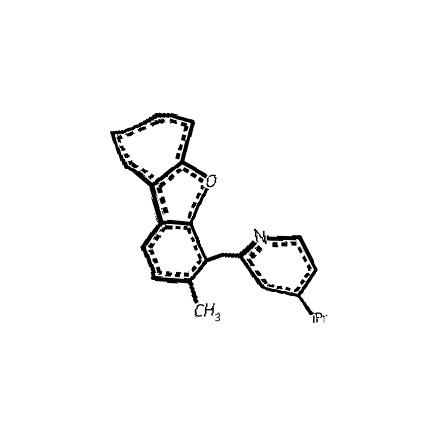 Cc1ccc2c(oc3ccccc32)c1-c1cc(C(C)C)ccn1